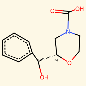 O=C(O)N1CCO[C@H](C(O)c2ccccc2)C1